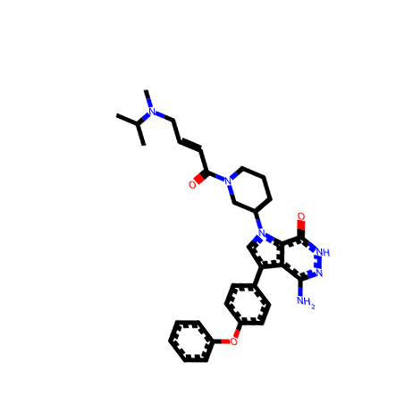 CC(C)N(C)C/C=C/C(=O)N1CCCC(n2cc(-c3ccc(Oc4ccccc4)cc3)c3c(N)n[nH]c(=O)c32)C1